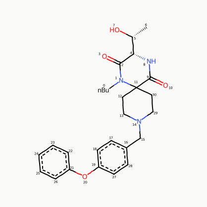 CCCCN1C(=O)[C@H]([C@@H](C)O)NC(=O)C12CCN(Cc1ccc(Oc3ccccc3)cc1)CC2